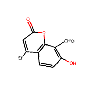 CCc1cc(=O)oc2c(C=O)c(O)ccc12